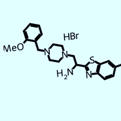 Br.COc1ccccc1CN1CCN(CC(N)c2nc3ccc(F)cc3s2)CC1